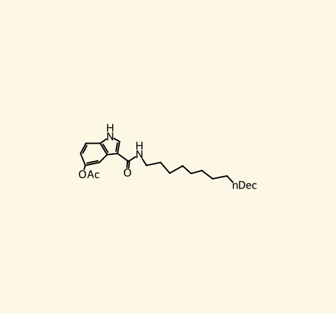 CCCCCCCCCCCCCCCCCCNC(=O)c1c[nH]c2ccc(OC(C)=O)cc12